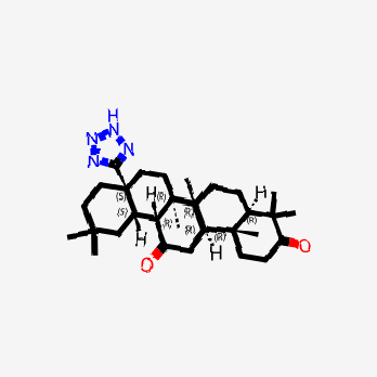 CC1(C)CC[C@]2(c3nn[nH]n3)CC[C@]3(C)[C@H](C(=O)C[C@@H]4[C@@]5(C)CCC(=O)C(C)(C)[C@@H]5CC[C@]43C)[C@@H]2C1